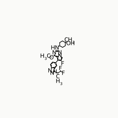 COc1nc(NC2CCC(C)(O)CC2)nn2cc(F)c(-c3ccc4nnn([C@@H](C)C(F)F)c4c3)c12